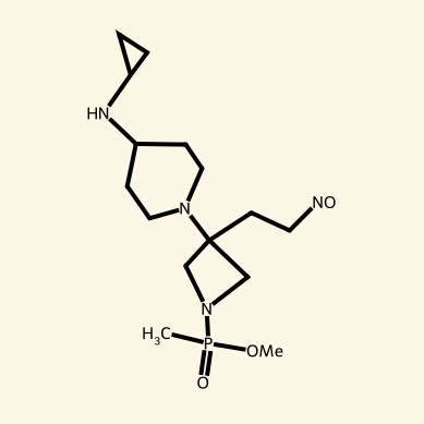 COP(C)(=O)N1CC(CCN=O)(N2CCC(NC3CC3)CC2)C1